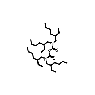 CCCCC(CC)CN(CC(CC)CCCC)C(=S)SC(=S)N(CC(CC)CCCC)CC(CC)CCCC